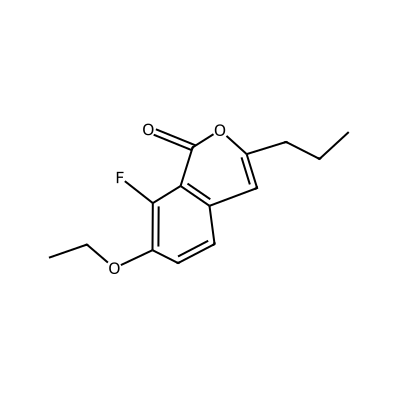 CCCc1cc2ccc(OCC)c(F)c2c(=O)o1